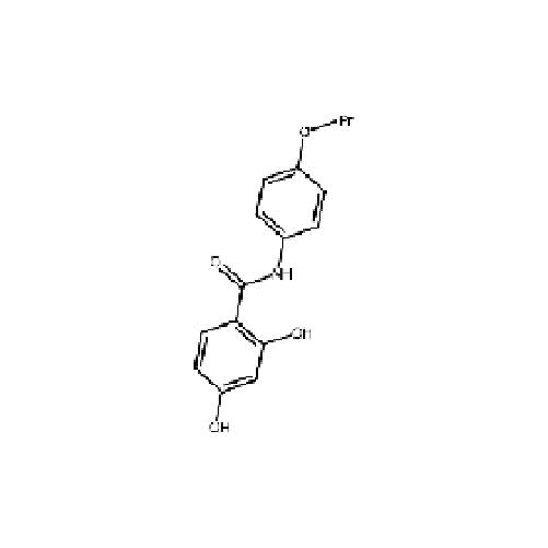 CC(C)Oc1ccc(NC(=O)c2ccc(O)cc2O)cc1